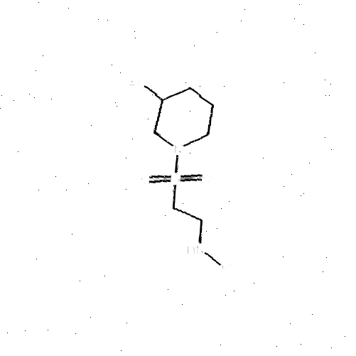 CC(=O)C1CCCN(S(=O)(=O)CCNC(C)C)C1